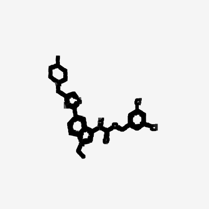 CCn1cc(NC(=O)OCc2cc(Cl)cc(Cl)c2)c2cc(-c3nc(CN4CCC(C)CC4)cs3)ccc21